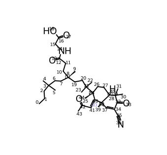 CCCC(C)(C)CC[C@](C)(CCC(=O)NCC(=O)O)CCC(C)(C)[C@]1(C)CC[C@H]2C(C)(C)C(=O)C(C#N)=C[C@]2(C)/C1=C/C(C)=O